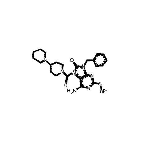 CCCSc1nc(N)c2c(n1)n(Cc1ccccc1)c(=O)n2C(=O)N1CCC(N2CCCCC2)CC1